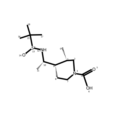 C[C@@H]1CN(C(=O)O)CC[C@@H]1[C@H](C)N[S+]([O-])C(C)(C)C